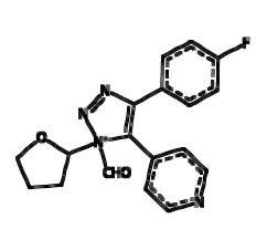 O=C[N+]1(C2CCCO2)N=NC(c2ccc(F)cc2)=C1c1ccncc1